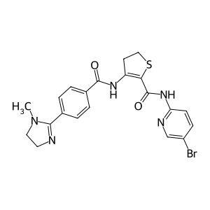 CN1CCN=C1c1ccc(C(=O)NC2=C(C(=O)Nc3ccc(Br)cn3)SCC2)cc1